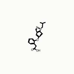 CC(C)Cn1ncc2cc(Oc3ccccc3CC(=O)O)ccc21